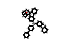 c1ccc(-c2ccc(N(c3ccc4c(c3)-c3ccccc3C43C4CC5CC6CC3(C5)C6C4)c3ccc4oc5ccccc5c4c3)cc2)cc1